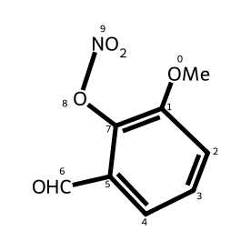 COc1cccc(C=O)c1O[N+](=O)[O-]